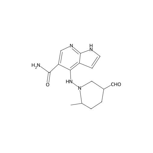 CC1CCC(C=O)CN1Nc1c(C(N)=O)cnc2[nH]ccc12